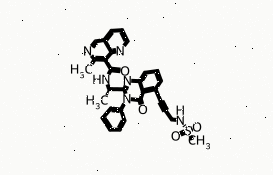 Cc1ncc2cccnc2c1C(=O)N[C@H](C)c1nc2cccc(C#CCNS(C)(=O)=O)c2c(=O)n1-c1ccccc1